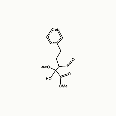 COC(=O)C(O)(OC)C(CCc1cccnc1)P=O